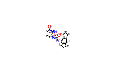 O=C1CCCS(=O)(=NC(=O)Nc2c3c(cc4c2CCC4)CCC3)N1